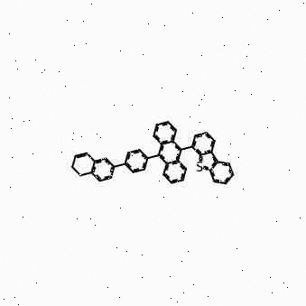 C1=Cc2cc(-c3ccc(-c4c5ccccc5c(-c5cccc6c5sc5ccccc56)c5ccccc45)cc3)ccc2CC1